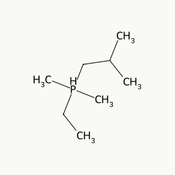 CC[PH](C)(C)CC(C)C